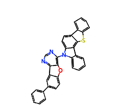 c1ccc(-c2ccc3oc4c(-n5c6ccccc6c6c7sc8ccccc8c7ccc65)ncnc4c3c2)cc1